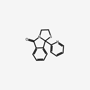 O=C1c2ccccc2C2(c3ccccn3)SCCN12